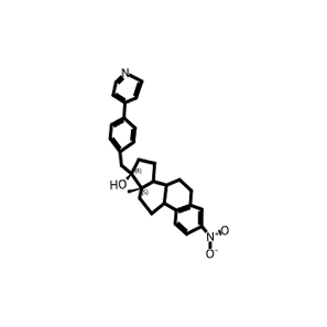 C[C@]12CCC3c4ccc([N+](=O)[O-])cc4CCC3C1CC[C@@]2(O)Cc1ccc(-c2ccncc2)cc1